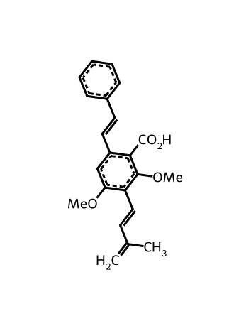 C=C(C)C=Cc1c(OC)cc(C=Cc2ccccc2)c(C(=O)O)c1OC